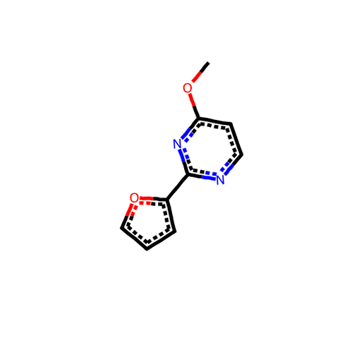 COc1ccnc(-c2ccco2)n1